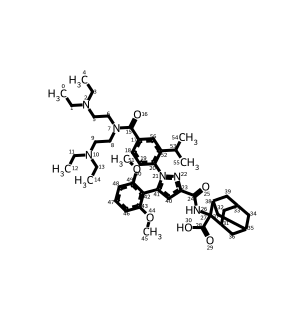 CCN(CC)CCN(CCN(CC)CC)C(=O)c1ccc(-n2nc(C(=O)NC3(C(=O)O)C4CC5CC(C4)CC3C5)cc2-c2c(OC)cccc2OC)c(C(C)C)c1